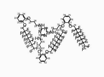 FC(F)C(F)(F)C(F)(F)C(F)(F)C(F)(F)C(F)(F)COc1ccccc1OCCCNc1nc(NCCCOc2ccccc2OCC(F)(F)C(F)(F)C(F)(F)C(F)(F)C(F)(F)C(F)F)nc(NCCCOc2ccccc2OCC(F)(F)C(F)(F)C(F)(F)C(F)(F)C(F)(F)C(F)F)n1